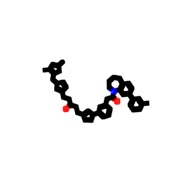 CC1=CC(C)=C(CC2C=CC(CCC(=O)CCC3=CC(c4cccc(CC(=O)N5CCCCc6ccc(-c7cccc(C)c7)cc65)c4)C=C3)=C2)C1